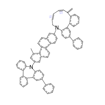 C=C1/C=C\C=C/CN(c2ccc3c(ccc4c3ccc3cc(N5c6ccccc6-c6ccccc6-c6cc(-c7ccccc7)ccc65)cc(C)c34)c2)c2ccc(-c3ccccc3)cc2-c2ccccc21